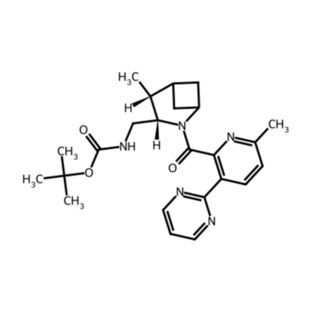 Cc1ccc(-c2ncccn2)c(C(=O)N2C3CC(C3)[C@@H](C)[C@H]2CNC(=O)OC(C)(C)C)n1